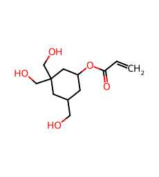 C=CC(=O)OC1CC(CO)CC(CO)(CO)C1